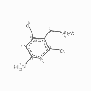 CCCCCCc1c(Cl)nc(N)nc1Cl